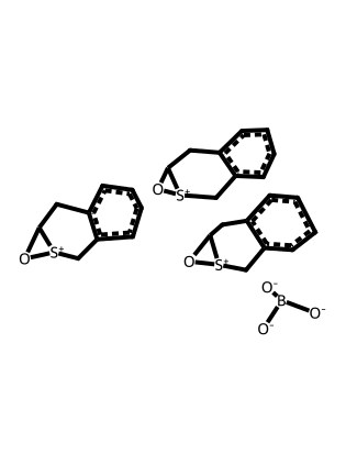 [O-]B([O-])[O-].c1ccc2c(c1)CC1O[S+]1C2.c1ccc2c(c1)CC1O[S+]1C2.c1ccc2c(c1)CC1O[S+]1C2